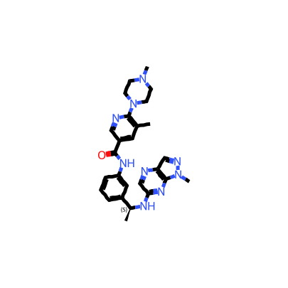 Cc1cc(C(=O)Nc2cccc([C@H](C)Nc3cnc4cnn(C)c4n3)c2)cnc1N1CCN(C)CC1